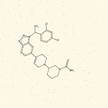 CC(c1ccc(Cl)cc1Cl)n1nnc2ccc(C3=CCN(C4CCCN(C(N)=O)C4)CC3)cc21